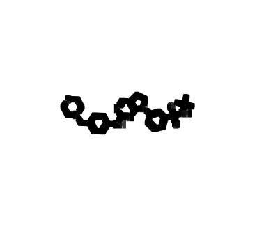 CC(C)(C)NS(=O)(=O)c1cccc(N2CCc3cnc(Nc4ccc(CN5CCSCC5)cc4)nc32)c1